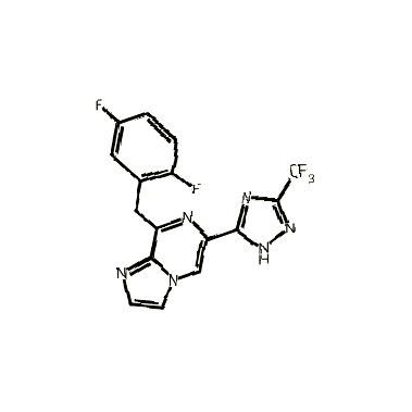 Fc1ccc(F)c(Cc2nc(-c3nc(C(F)(F)F)n[nH]3)cn3ccnc23)c1